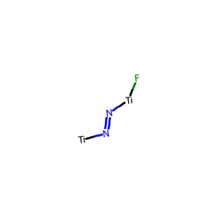 [F][Ti][N]=[N][Ti]